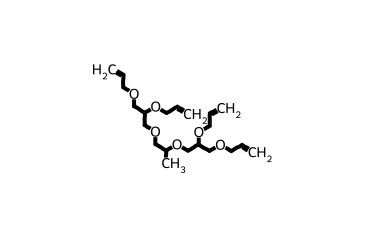 C=CCOCC(COCC(C)OCC(COCC=C)OCC=C)OCC=C